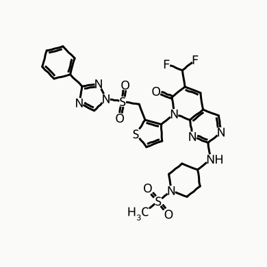 CS(=O)(=O)N1CCC(Nc2ncc3cc(C(F)F)c(=O)n(-c4ccsc4CS(=O)(=O)n4cnc(-c5ccccc5)n4)c3n2)CC1